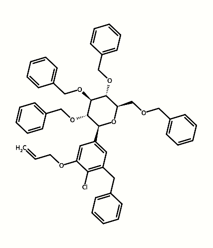 C=CCOc1cc([C@@H]2O[C@H](COCc3ccccc3)[C@@H](OCc3ccccc3)[C@H](OCc3ccccc3)[C@H]2OCc2ccccc2)cc(Cc2ccccc2)c1Cl